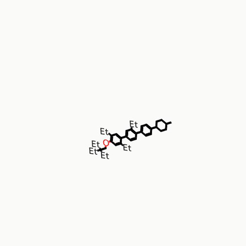 CCc1cc(-c2ccc(-c3ccc(C4CCC(C)CC4)cc3)c(CC)c2)c(CC)cc1OCC(CC)(CC)CC